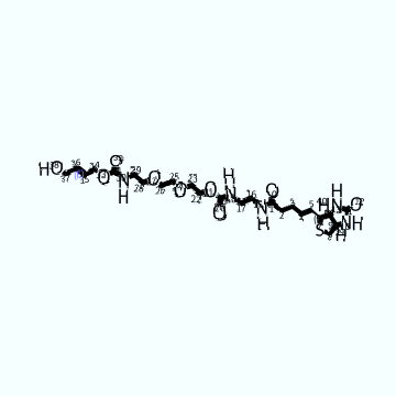 O=C(CCCC[C@@H]1SC[C@@H]2NC(=O)N[C@@H]21)NCCNC(=O)OCCOCCOCCNC(=O)OC/C=C/CO